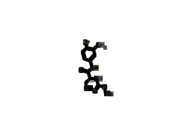 Cc1cc(NC(=O)[C@H](CO)NC(=O)OC(C)(C)C)ccc1Br